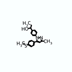 CCC(O)c1ccc(-n2nc(C)cc2-c2ccc(SC)cc2)cc1